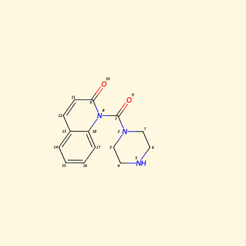 O=C(N1CCNCC1)n1c(=O)ccc2ccccc21